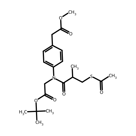 COC(=O)Cc1ccc(N(CC(=O)OC(C)(C)C)C(=O)C(C)CSC(C)=O)cc1